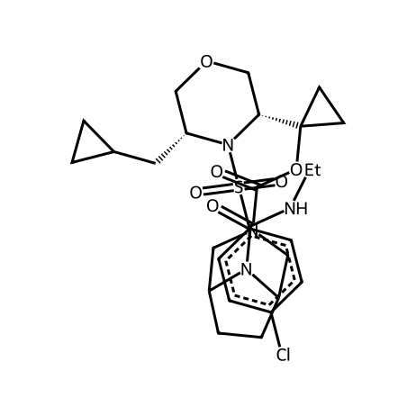 CCNC(=O)N1C2CCC1CN(C(=O)OC1([C@H]3COC[C@@H](CC4CC4)N3S(=O)(=O)c3ccc(Cl)cc3)CC1)C2